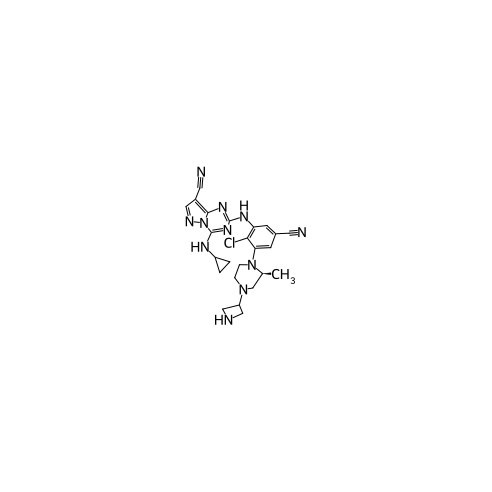 C[C@H]1CN(C2CNC2)CCN1c1cc(C#N)cc(Nc2nc(NC3CC3)n3ncc(C#N)c3n2)c1Cl